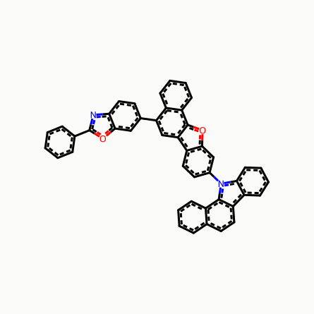 c1ccc(-c2nc3ccc(-c4cc5c6ccc(-n7c8ccccc8c8ccc9ccccc9c87)cc6oc5c5ccccc45)cc3o2)cc1